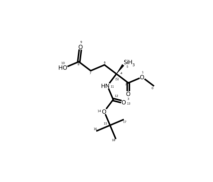 COC(=O)[C@@]([SiH3])(CCC(=O)O)NC(=O)OC(C)(C)C